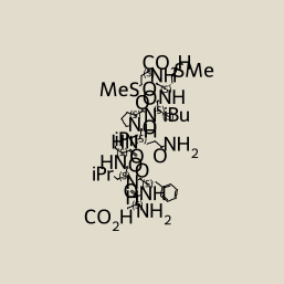 CC[C@H](C)[C@H](NC(=O)[C@@H]1CCCN1C(=O)[C@H](CCC(N)=O)NC(=O)[C@H](CC(C)C)NC(=O)[C@H](CC(C)C)NC(=O)[C@H](Cc1ccccc1)NC(=O)[C@@H](N)CC(=O)O)C(=O)N[C@@H](CCSC)C(=O)N[C@@H](CCSC)C(=O)O